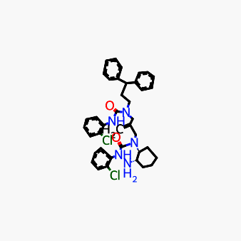 C=C(CN(CCC(c1ccccc1)c1ccccc1)C(=O)Nc1ccccc1Cl)CN(C(=O)Nc1ccccc1Cl)[C@@H]1CCCC[C@@H]1N